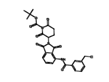 CC(C)(C)OC(=O)N1C(=O)CCC(N2C(=O)c3cccc(NC(=O)c4cccc(CCl)c4)c3C2=O)C1=O